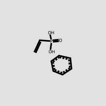 C=CP(=O)(O)O.c1ccccc1